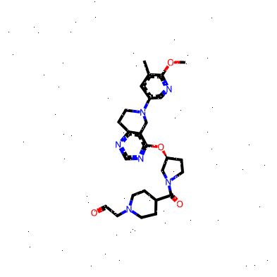 COc1ncc(N2CCc3ncnc(O[C@H]4CCN(C(=O)C5CCN(CC=O)CC5)C4)c3C2)cc1C